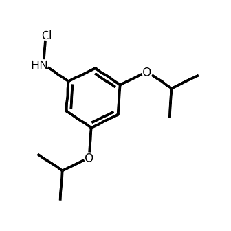 CC(C)Oc1cc(NCl)cc(OC(C)C)c1